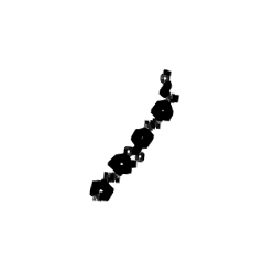 COCCN(C)c1ccc(N=Nc2ccc(C(=O)Oc3ccc(N=Nc4ccncc4)cc3C)cc2)cc1